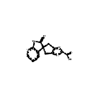 O=C(O)c1nc2c(s1)CC1(C2)C(=O)Nc2ncccc21